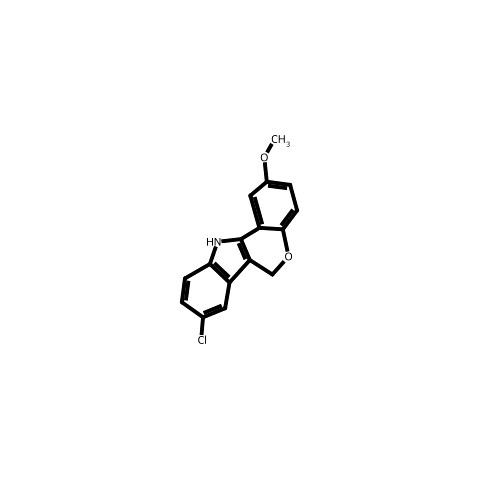 COc1ccc2c(c1)-c1[nH]c3ccc(Cl)cc3c1CO2